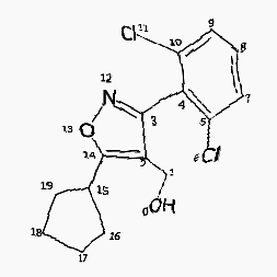 OCc1c(-c2c(Cl)cccc2Cl)noc1C1CCCC1